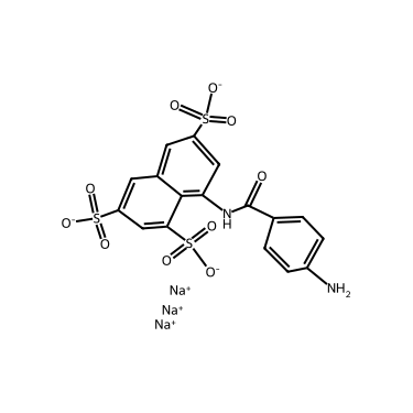 Nc1ccc(C(=O)Nc2cc(S(=O)(=O)[O-])cc3cc(S(=O)(=O)[O-])cc(S(=O)(=O)[O-])c23)cc1.[Na+].[Na+].[Na+]